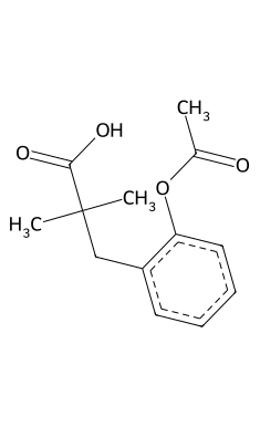 CC(=O)Oc1ccccc1CC(C)(C)C(=O)O